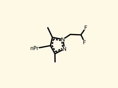 CCCc1c(C)nn(CC(F)F)c1C